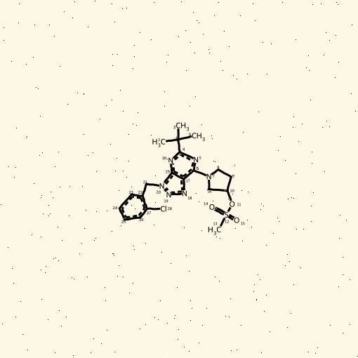 CC(C)(C)c1nc(N2CCC(OS(C)(=O)=O)C2)c2nnn(Cc3ccccc3Cl)c2n1